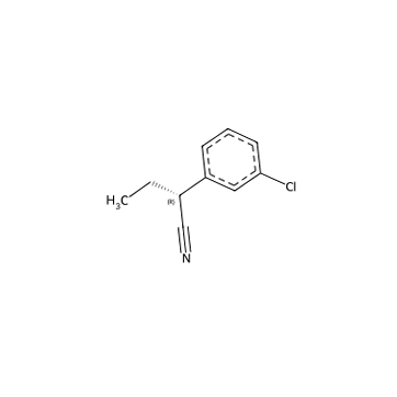 CC[C@@H](C#N)c1cccc(Cl)c1